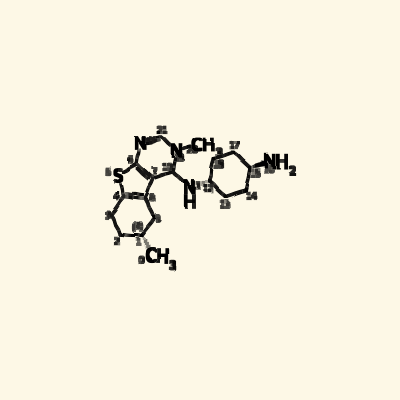 C[C@@H]1CCc2sc3c(c2C1)C(N[C@H]1CC[C@H](N)CC1)N(C)C=N3